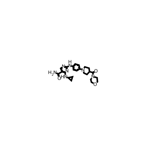 NC(=O)c1cnc(Nc2ccc(N3CCC(C(=O)N4CCOCC4)CC3)cc2)nc1NC1CC1